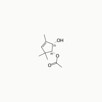 CC(=O)O[C@H]1[C@@H](O)C(C)=CC1(C)C